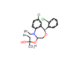 CC(=O)C[C@@](O)(OC1CO[C@H](c2ccccc2Cl)c2cc(Cl)ccc2N1CC(C)C)C(=O)O